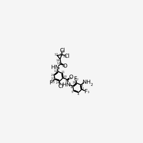 Nc1c(F)ccc(NC(=O)c2cc(NC(=O)C3CC3(Cl)Cl)cc(F)c2Cl)c1F